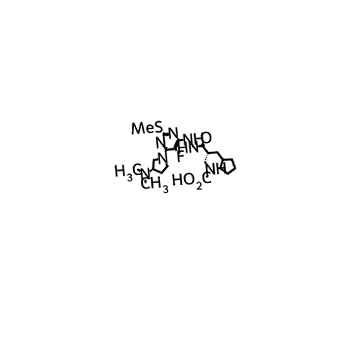 CSc1nc(NNC(=O)[C@@H](CNC(=O)O)CC2CCCC2)c(F)c(N2CC[C@@H](N(C)C)C2)n1